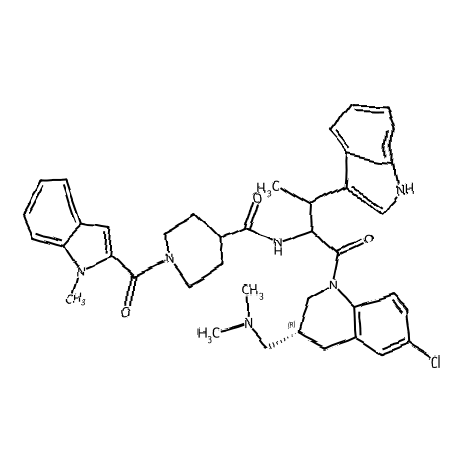 CC(c1c[nH]c2ccccc12)C(NC(=O)C1CCN(C(=O)c2cc3ccccc3n2C)CC1)C(=O)N1C[C@@H](CN(C)C)Cc2cc(Cl)ccc21